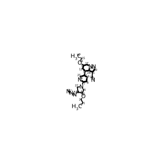 CCCO[C@H]1CN(c2ccc(-c3cc(OCC)cn4ncc(C#N)c34)cn2)C[C@@H]1N=[N+]=[N-]